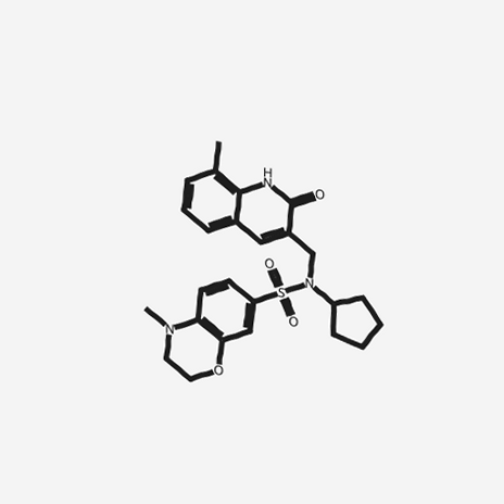 Cc1cccc2cc(CN(C3CCCC3)S(=O)(=O)c3ccc4c(c3)OCCN4C)c(=O)[nH]c12